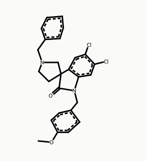 COc1ccc(CN2C(=O)C3(CCN(Cc4ccccc4)C3)c3cc(Cl)c(Cl)cc32)cc1